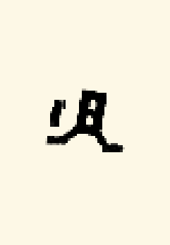 COc1c2ccc-2c1OC.O=P